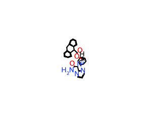 NC(=O)C(c1ncccn1)[N+]12CCC(CC1)[C@@H](OC(=O)C1c3ccccc3Cc3ccccc31)C2